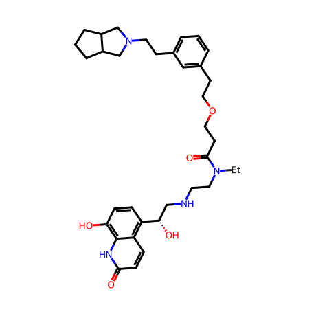 CCN(CCNC[C@H](O)c1ccc(O)c2[nH]c(=O)ccc12)C(=O)CCOCCc1cccc(CCN2CC3CCCC3C2)c1